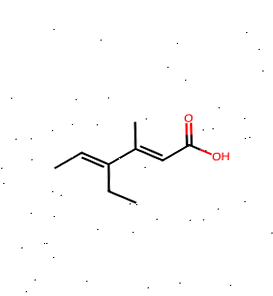 C/C=C(CC)/C(C)=C/C(=O)O